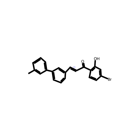 Cc1cccc(-c2cccc(/C=C/C(=O)c3ccc(Br)cc3O)c2)c1